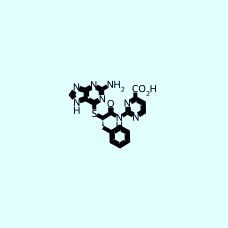 Nc1nc(S[C@@H](Cc2ccccc2)C(=O)Nc2nccc(C(=O)O)n2)c2[nH]cnc2n1